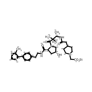 CCOC(=O)CN1CCC(CC(=O)N[C@@H](C)C(C)(C)C(=O)N2C[C@H](O)C[C@H]2C(=O)NCCc2ccc(-c3scnc3C)cc2)CC1